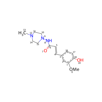 COc1cc(C=CC(=O)NN2CCN(C)CC2)ccc1O